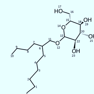 CCCCCCC(CCCC)COC1O[C@H](CO)[C@@H](O)[C@H](O)[C@H]1O